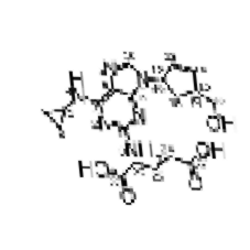 Nc1nc(NC2CC2)c2ncn([C@H]3C=C[C@@H](CO)C3)c2n1.O=C(O)CCCC(=O)O